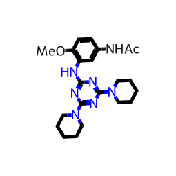 COc1ccc(NC(C)=O)cc1Nc1nc(N2CCCCC2)nc(N2CCCCC2)n1